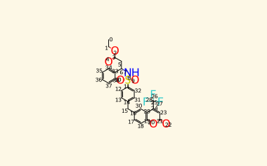 CCOC(=O)CC(NS(=O)(=O)c1ccc(Cc2ccc3oc(=O)cc(C(F)(F)F)c3c2)cc1)c1ccccc1